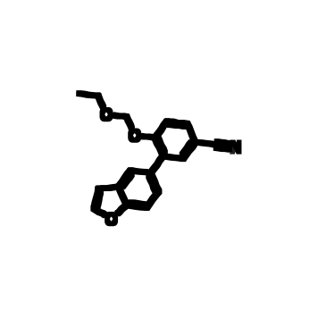 CCOCOc1ccc(C#N)cc1-c1ccc2occc2c1